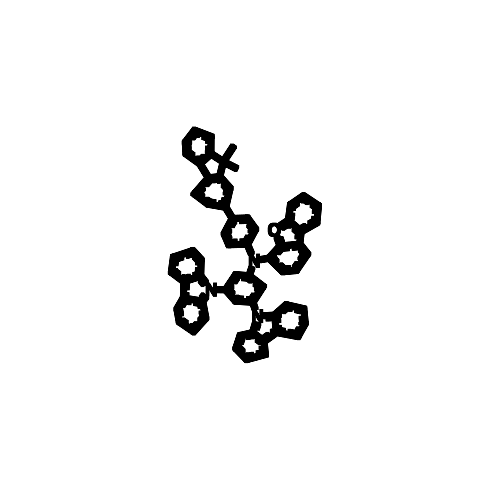 CC1(C)c2ccccc2-c2ccc(-c3ccc(N(c4cc(-n5c6ccccc6c6ccccc65)cc(-n5c6ccccc6c6ccccc65)c4)c4cccc5c4oc4ccccc45)cc3)cc21